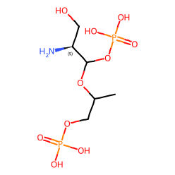 CC(COP(=O)(O)O)OC(OP(=O)(O)O)[C@@H](N)CO